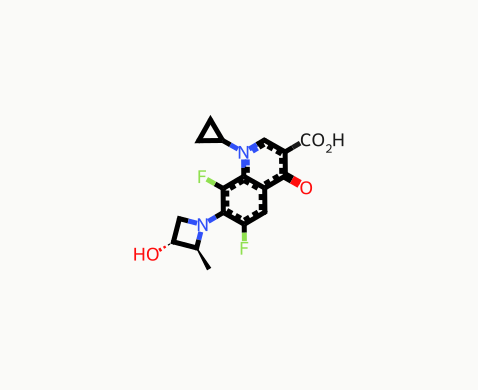 C[C@H]1[C@H](O)CN1c1c(F)cc2c(=O)c(C(=O)O)cn(C3CC3)c2c1F